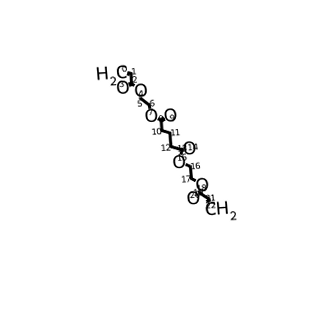 C=CC(=O)OCCOC(=O)CCCC(=O)OCCOC(=O)C=C